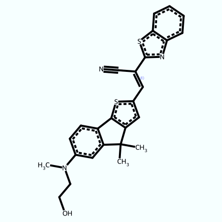 CN(CCO)c1ccc2c(c1)C(C)(C)c1cc(/C=C(\C#N)c3nc4ccccc4s3)sc1-2